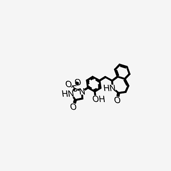 O=C1CC=C2CC=CC=C2C(Cc2ccc(N3CC(=O)NS3(=O)=O)c(O)c2)N1